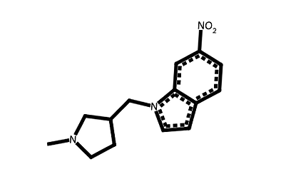 CN1CCC(Cn2ccc3ccc([N+](=O)[O-])cc32)C1